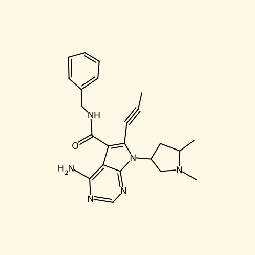 CC#Cc1c(C(=O)NCc2ccccc2)c2c(N)ncnc2n1C1CC(C)N(C)C1